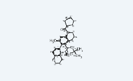 Cc1cc2c(c(C(OO)OC(C)(C)C)c1-c1ccc3c(c1)CCCO3)CCCN2C(=O)C1CCCCC1